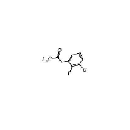 CC(=O)Cc1cccc(Cl)c1F